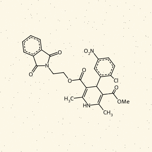 COC(=O)C1=C(C)NC(C)=C(C(=O)OCCN2C(=O)c3ccccc3C2=O)C1c1cc([N+](=O)[O-])ccc1Cl